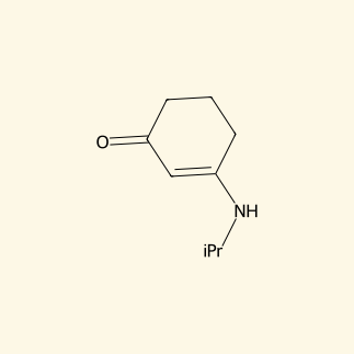 CC(C)NC1=CC(=O)CCC1